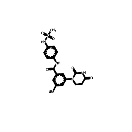 CC(C)(C)c1cc(C(=O)Nc2ccc(NS(C)(=O)=O)cc2)cc(N2CCC(=O)NC2=O)c1